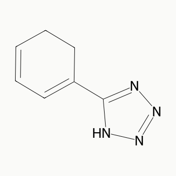 C1=CCCC(c2nnn[nH]2)=C1